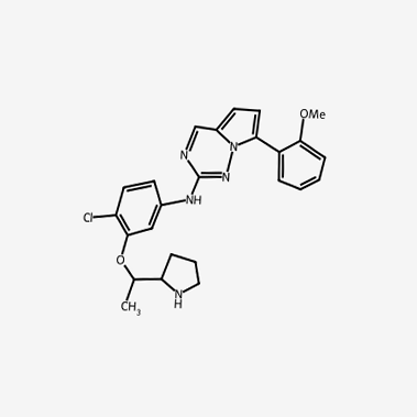 COc1ccccc1-c1ccc2cnc(Nc3ccc(Cl)c(OC(C)C4CCCN4)c3)nn12